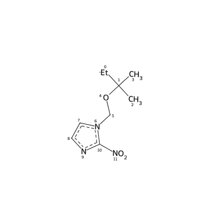 C[CH]C(C)(C)OCn1ccnc1[N+](=O)[O-]